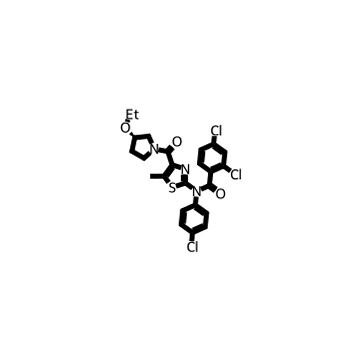 CCO[C@@H]1CCN(C(=O)c2nc(N(C(=O)c3ccc(Cl)cc3Cl)c3ccc(Cl)cc3)sc2C)C1